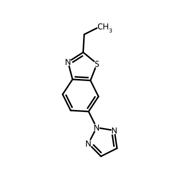 CCc1nc2ccc(-n3nccn3)cc2s1